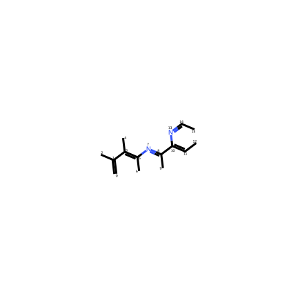 C=C(C)/C(C)=C(C)/N=C(C)/C(=C/C)/N=C\C